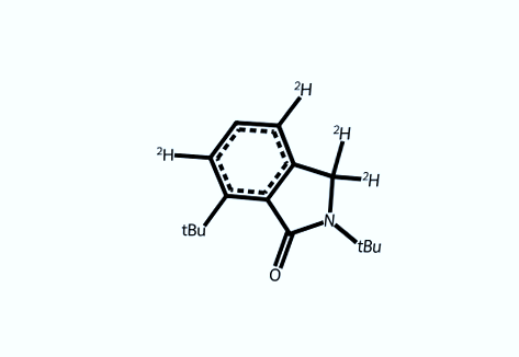 [2H]c1cc([2H])c2c(c1C(C)(C)C)C(=O)N(C(C)(C)C)C2([2H])[2H]